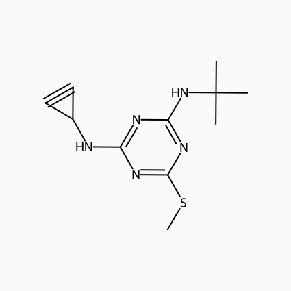 CSc1nc(NC2C#C2)nc(NC(C)(C)C)n1